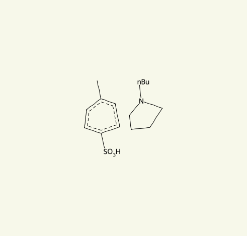 CCCCN1CCCC1.Cc1ccc(S(=O)(=O)O)cc1